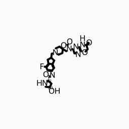 O=C1COc2ncc(N3CC4(CCN(CC5Cc6cc7nc([C@@H]8C[C@@H](O)CN8)oc7c(F)c6C5)CC4)OC3=O)nc2N1